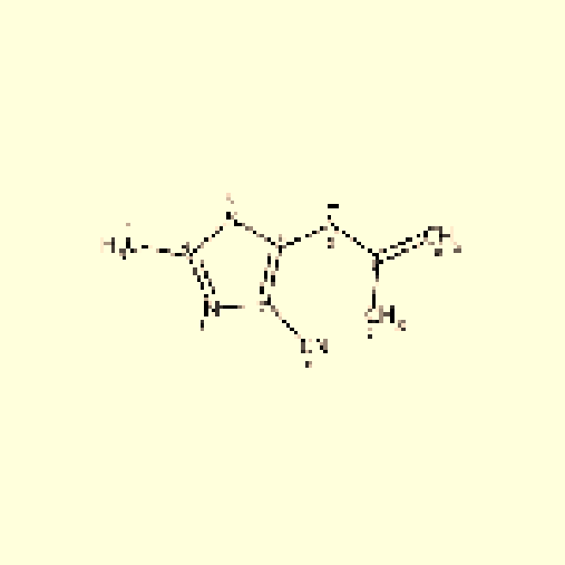 C=C(C)Nc1sc(C)nc1C#N